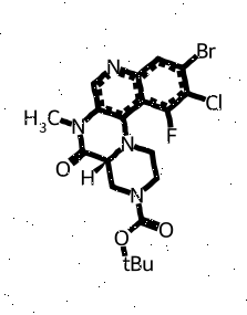 CN1C(=O)[C@H]2CN(C(=O)OC(C)(C)C)CCN2c2c1cnc1cc(Br)c(Cl)c(F)c21